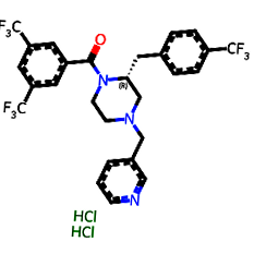 Cl.Cl.O=C(c1cc(C(F)(F)F)cc(C(F)(F)F)c1)N1CCN(Cc2cccnc2)C[C@H]1Cc1ccc(C(F)(F)F)cc1